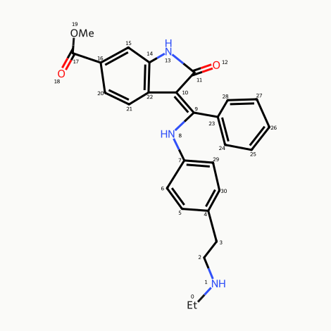 CCNCCc1ccc(NC(=C2C(=O)Nc3cc(C(=O)OC)ccc32)c2ccccc2)cc1